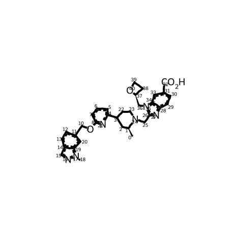 C[C@H]1CC(c2cccc(OCc3ccc4cnn(C)c4c3)n2)CCN1Cc1nc2ccc(C(=O)O)cc2n1C[C@@H]1CCO1